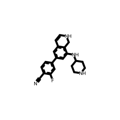 N#Cc1ccc(-c2cc3c(c(NC4CCNCC4)c2)CNC=C3)cc1F